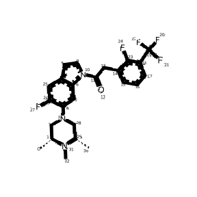 C[C@@H]1CN(c2cc3c(ccn3C(=O)Cc3cccc(C(F)(F)F)c3F)cc2F)C[C@H](C)N1C